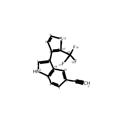 C#Cc1ccc2[nH]cc(-c3ccsc3C(F)(F)F)c2c1